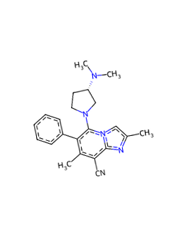 Cc1cn2c(N3CC[C@H](N(C)C)C3)c(-c3ccccc3)c(C)c(C#N)c2n1